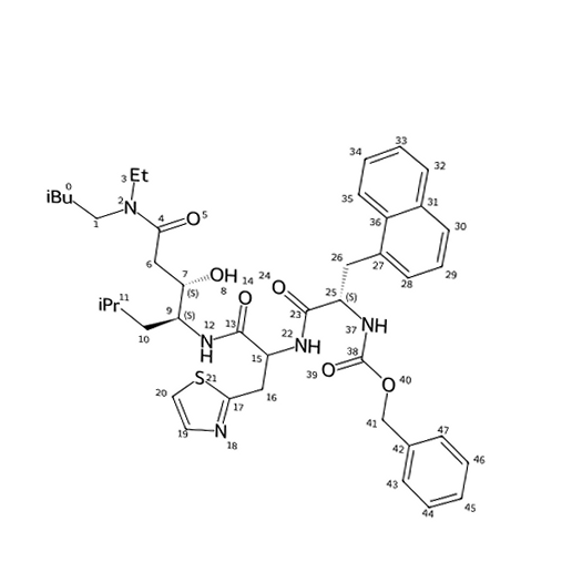 CCC(C)CN(CC)C(=O)C[C@H](O)[C@H](CC(C)C)NC(=O)C(Cc1nccs1)NC(=O)[C@H](Cc1cccc2ccccc12)NC(=O)OCc1ccccc1